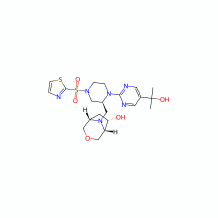 CC(C)(O)c1cnc(N2CCN(S(=O)(=O)c3nccs3)C[C@@H]2CN2[C@@H]3COC[C@H]2[C@@H](O)C3)nc1